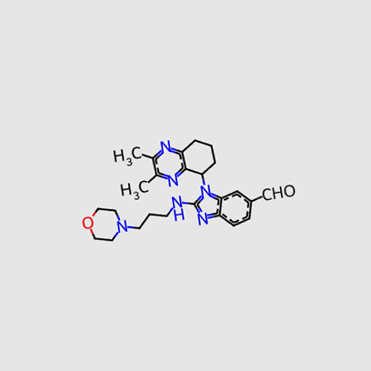 Cc1nc2c(nc1C)C(n1c(NCCCN3CCOCC3)nc3ccc(C=O)cc31)CCC2